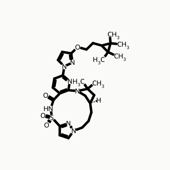 CC1(C)C[C@H]2CCCn3ccc(n3)S(=O)(=O)NC(=O)c3ccc(-n4ccc(OCCC5C(C)(C)C5(C)C)n4)nc3N1C2